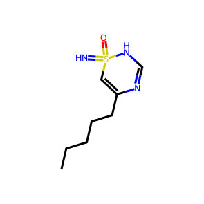 CCCCCC1=CS(=N)(=O)NC=N1